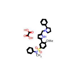 COc1ccc(S(=O)(=O)N(C)c2ccccc2)cc1-c1ccc(CN2CCCC2c2ccccc2)[nH]1.O=C(O)C(=O)O